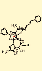 C=C(C)C12OC3(c4ccccc4)OC1C1C4OC4(CO)C(O)C4(O)C(=O)C(C)=CC4C1(O3)C(C)C2OC(=O)C=CC=Cc1ccccc1